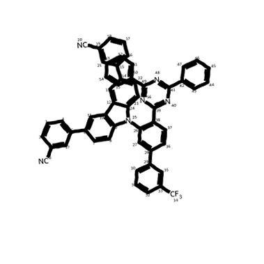 N#Cc1cccc(-c2ccc3c(c2)c2cc(-c4cccc(C#N)c4)ccc2n3-c2cc(-c3cccc(C(F)(F)F)c3)ccc2-c2nc(-c3ccccc3)nc(-c3ccccc3)n2)c1